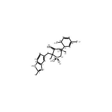 Cc1nc2cc(CC3(C)C(=N)N[C@](C)(C4C=C(F)C=CC4F)CS3(=O)=O)ccc2o1